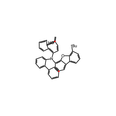 C=C(O)/C=C\C(=c1\ccccc1=C)N(c1ccccc1-c1ccccc1)c1cccc2c1oc1c(C(C)(C)C)cccc12